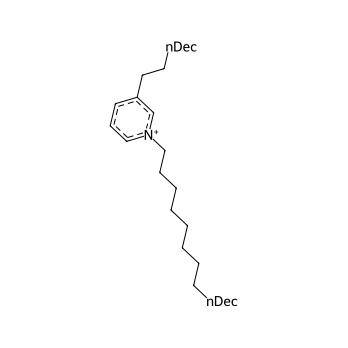 CCCCCCCCCCCCCCCCCC[n+]1cccc(CCCCCCCCCCCC)c1